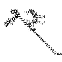 COCCOCCOCCOCCOCCOCCOCCOCCC(=O)NCCCC[C@H](NC(=O)CNC(=O)CC(SC[C@H](NC(=O)OCC[Si](C)(C)C)C(=O)O)C(=O)O)C(=O)NCCCCCCN1N=C(c2ccc(NC(=O)N3Cc4ccncc4C3)cc2)CC(c2cccc3ncccc23)C1=O